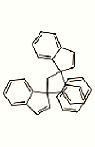 C1=CC(CC2(c3ccccc3)C=Cc3ccccc32)(c2ccccc2)c2ccccc21